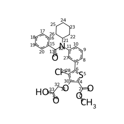 COC(=O)c1sc(-c2cccc(N(C(=O)c3ccccc3)C3CCCCC3)c2)c(Cl)c1OCC(=O)O